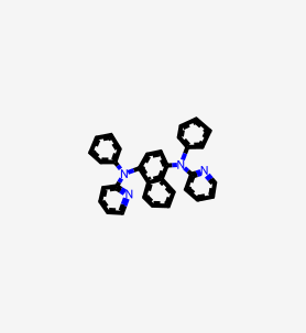 c1ccc(N(c2ccccn2)c2ccc(N(c3ccccc3)c3ccccn3)c3ccccc23)cc1